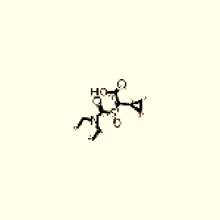 CCN(CC)C(=O)[S+]([O-])C(C(=O)O)C1CC1